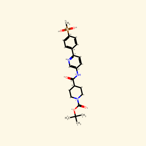 CC(C)(C)OC(=O)N1CCC(C(=O)Nc2ccc(-c3ccc(S(C)(=O)=O)cc3)nc2)CC1